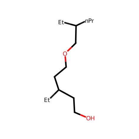 CCCC(CC)COCCC(CC)CCO